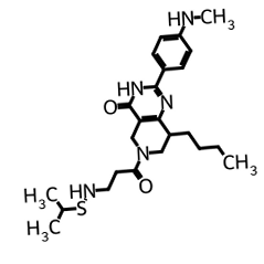 CCCCC1CN(C(=O)CCNSC(C)C)Cc2c1nc(-c1ccc(NC)cc1)[nH]c2=O